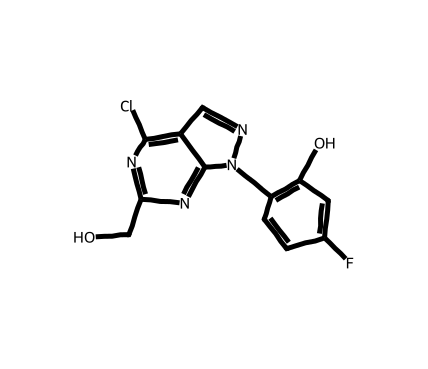 OCc1nc(Cl)c2cnn(-c3ccc(F)cc3O)c2n1